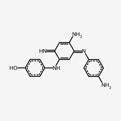 N=C1C=C(N)/C(=N/c2ccc(N)cc2)C=C1Nc1ccc(O)cc1